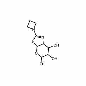 CCC1OC2SC(N3CCC3)=NC2C(O)C1O